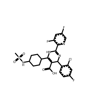 CS(=O)(=O)NC1CCC(C2=C(C(=O)O)C(c3ccc(F)cc3Cl)N=C(c3ncc(F)cc3F)N2)CC1